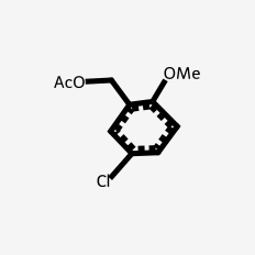 COc1ccc(Cl)cc1COC(C)=O